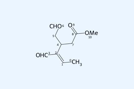 C/C=C(/C=O)C(CC=O)CC(=O)OC